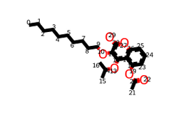 CCCCCCCCCCOc1c(OC(C)C)c2c(OC(C)=O)cccc2oc1=O